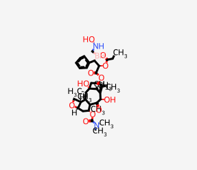 CCC(=O)O[C@@H](C(=O)O[C@H]1C[C@@]2(O)[C@@H](C)[C@@H]3[C@]4(C)CO[C@@H]4C[C@H](OC(=O)N(C)C)[C@@]3(C)C(=O)[C@H](O)C(=C1C)C2(C)C)[C@@H](BCNO)c1ccccc1